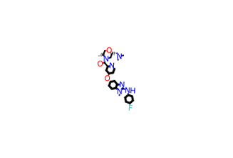 C[C@@H]1CO[C@H](CN(C)C)CN1C(=O)c1cc(Oc2ccc3c(c2)nc(Nc2ccc(F)cc2)n3C)ccn1